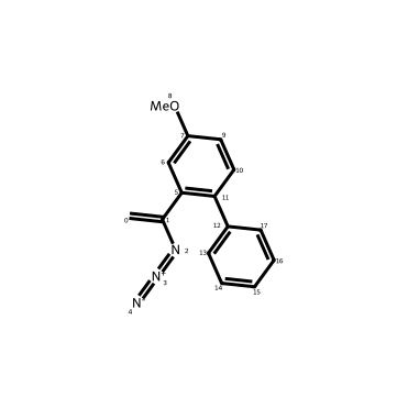 C=C(N=[N+]=[N-])c1cc(OC)ccc1-c1ccccc1